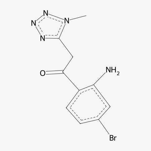 Cn1nnnc1CC(=O)c1ccc(Br)cc1N